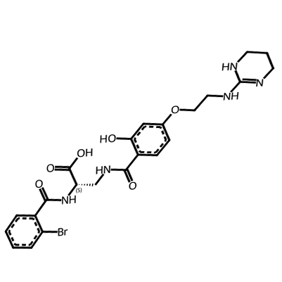 O=C(NC[C@H](NC(=O)c1ccccc1Br)C(=O)O)c1ccc(OCCNC2=NCCCN2)cc1O